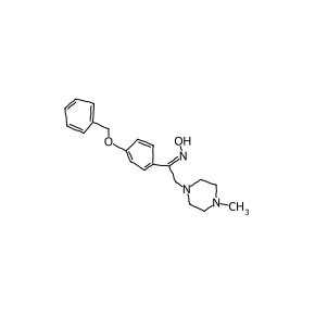 CN1CCN(CC(=NO)c2ccc(OCc3ccccc3)cc2)CC1